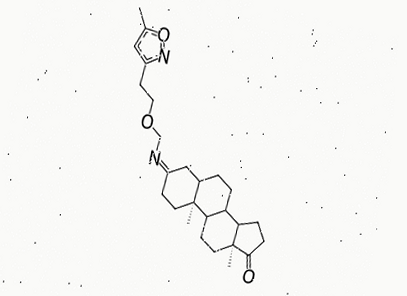 Cc1cc(CCOC/N=C2/CC[C@@]3(C)C(CCC4C3CC[C@]3(C)C(=O)CCC43)C2)no1